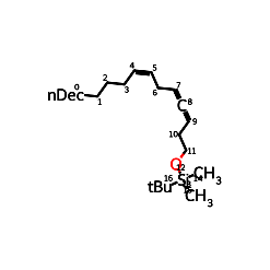 CCCCCCCCCCCCC/C=C\CC=C=CCCO[Si](C)(C)C(C)(C)C